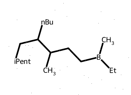 CCCCC(CC(C)CCC)C(C)CCB(C)CC